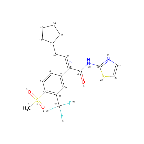 CS(=O)(=O)c1ccc(/C(=C\CC2CCCC2)C(=O)Nc2nccs2)cc1C(F)(F)F